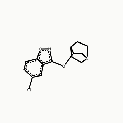 Clc1ccc2onc(OC3CN4CCC3CC4)c2c1